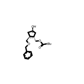 CC(C)(C)C(=O)OC[C@H]1C[C@H](O)C[C@@H]1COCc1ccccc1